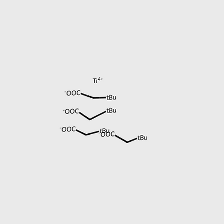 CC(C)(C)CC(=O)[O-].CC(C)(C)CC(=O)[O-].CC(C)(C)CC(=O)[O-].CC(C)(C)CC(=O)[O-].[Ti+4]